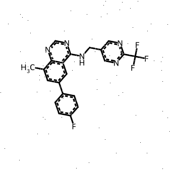 Cc1cc(-c2ccc(F)cc2)cc2c(NCc3cnc(C(F)(F)F)nc3)ncnc12